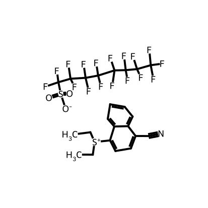 CC[S+](CC)c1ccc(C#N)c2ccccc12.O=S(=O)([O-])C(F)(F)C(F)(F)C(F)(F)C(F)(F)C(F)(F)C(F)(F)C(F)(F)C(F)(F)F